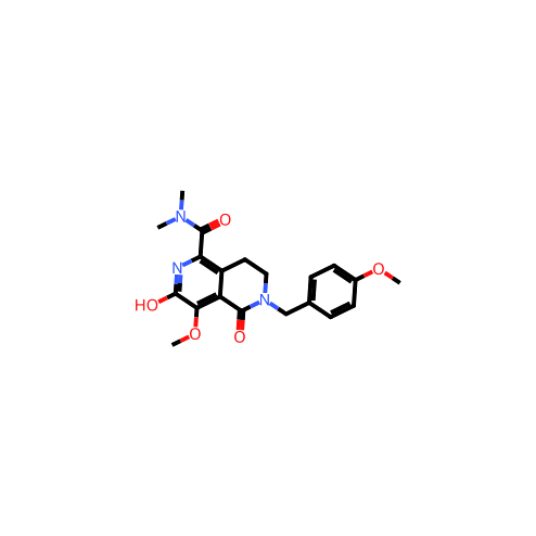 COc1ccc(CN2CCc3c(C(=O)N(C)C)nc(O)c(OC)c3C2=O)cc1